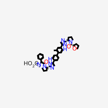 Cc1cc(-c2cnc([C@@H]3CCCN3C(=O)[C@@H]3CCCO3)[nH]2)ccc1-c1ccc(-c2cnc([C@@H]3CCCN3C(=O)[C@@H](c3ccccc3)N(C)C(=O)O)[nH]2)cc1